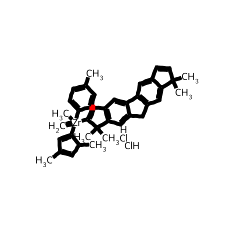 Cl.Cl.[CH2]=[Zr]([CH3])([C]1=CC(C)=CC1C)([C]1=Cc2cc3c(cc2C1(C)C)Cc1cc2c(cc1-3)C=CC2(C)C)[c]1ccc(C)cc1